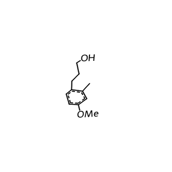 COc1ccc(CCCO)c(C)c1